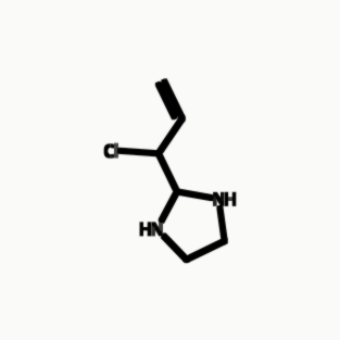 C=CC(Cl)C1NCCN1